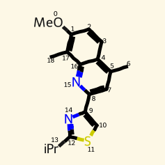 COc1ccc2c(C)cc(-c3csc(C(C)C)n3)nc2c1C